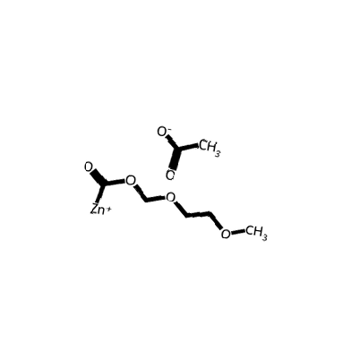 CC(=O)[O-].COCCOCO[C](=O)[Zn+]